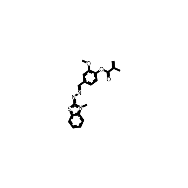 C=C(C)C(=O)Oc1ccc(C=NN=c2sc3ccccc3n2C)cc1OC